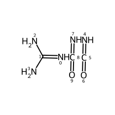 N=C(N)N.N=C=O.N=C=O